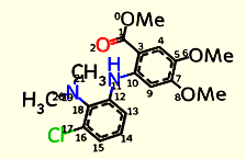 COC(=O)c1cc(OC)c(OC)cc1Nc1cccc(Cl)c1N(C)C